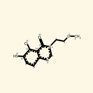 COCCn1cnc2ccc(S)c(Cl)c2c1=O